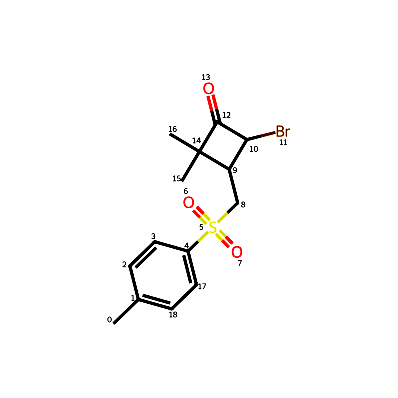 Cc1ccc(S(=O)(=O)CC2C(Br)C(=O)C2(C)C)cc1